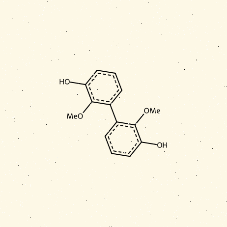 COc1c(O)cccc1-c1cccc(O)c1OC